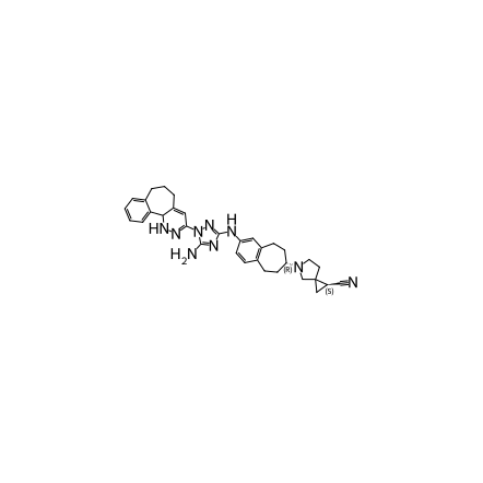 N#C[C@H]1CC12CCN([C@@H]1CCc3ccc(Nc4nc(N)n(C5=NNC6C(=C5)CCCc5ccccc56)n4)cc3CC1)C2